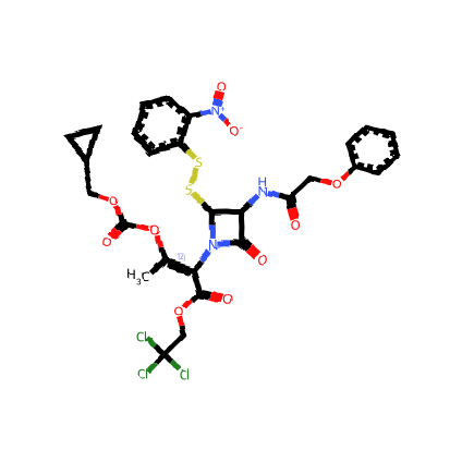 C/C(OC(=O)OCC1CC1)=C(\C(=O)OCC(Cl)(Cl)Cl)N1C(=O)C(NC(=O)COc2ccccc2)C1SSc1ccccc1[N+](=O)[O-]